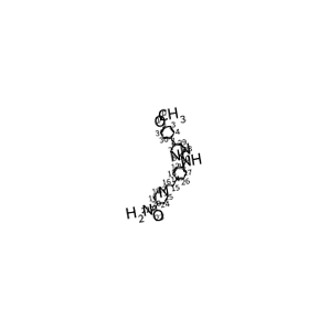 COc1ccc(-c2cnc(Nc3ccc(CCN4CCC(C(N)=O)CC4)cc3)nc2)cc1